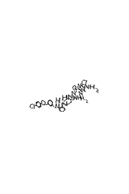 Nc1nc(N)c(C(=O)C/N=C2\NCC3(CCN(C(=O)NCc4cccc(COc5ccc(Cl)cc5)c4)CC3)N2)nc1Cl